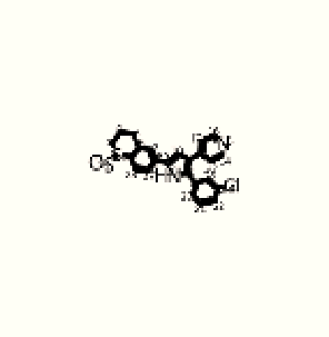 O=S=S1CCCc2cc(-c3cc(-c4ccncc4)c(-c4cccc(Cl)c4)[nH]3)ccc21